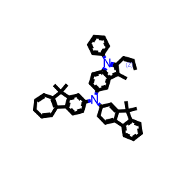 C/C=C\c1c(C)c2cc(N(c3ccc4c(c3)C(C)(C)C3=C4C=CCC=C3)C3C=C4C(=CC3)c3ccccc3C4(C)C)ccc2n1-c1ccccc1